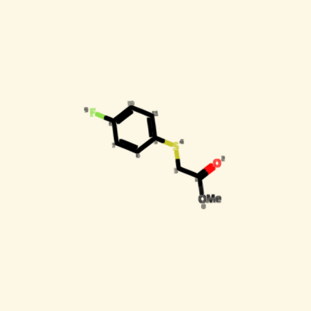 COC(=O)CSc1ccc(F)cc1